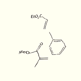 C=C(C)C(=O)OC.C=CC(=O)OCC.Cc1ccccc1